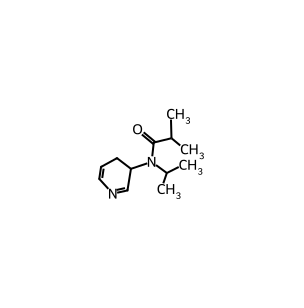 CC(C)C(=O)N(C(C)C)C1C=NC=CC1